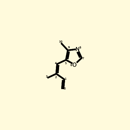 C=C/C(C)=C\c1ocnc1C